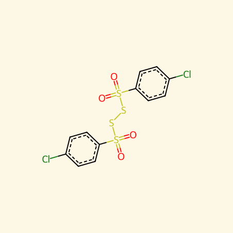 O=S(=O)(SSS(=O)(=O)c1ccc(Cl)cc1)c1ccc(Cl)cc1